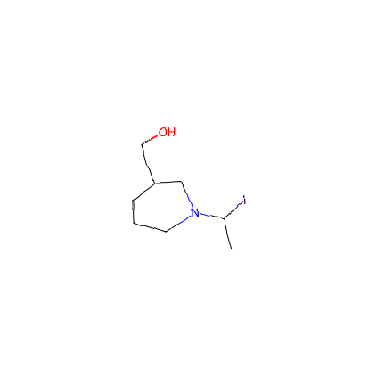 CC(I)N1CCCC(CO)C1